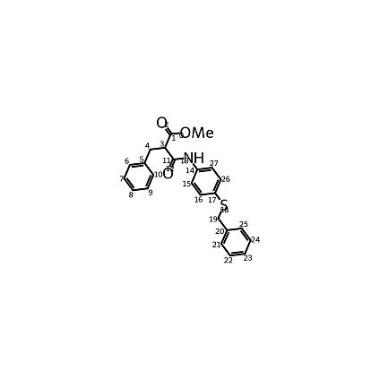 COC(=O)C(Cc1ccccc1)C(=O)Nc1ccc(SCc2ccccc2)cc1